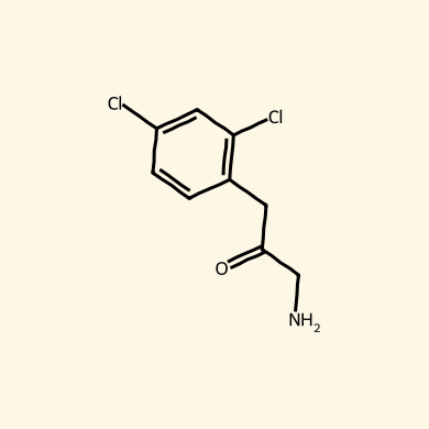 NCC(=O)Cc1ccc(Cl)cc1Cl